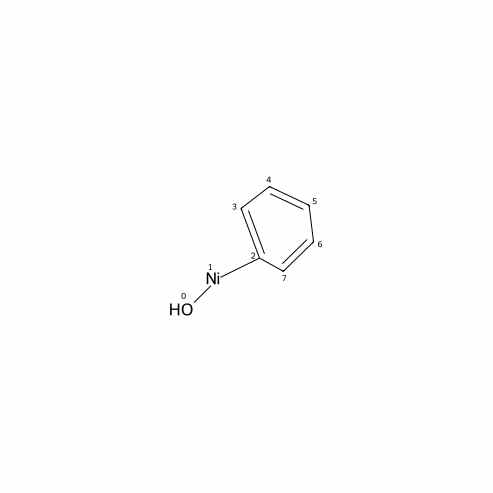 [OH][Ni][c]1ccccc1